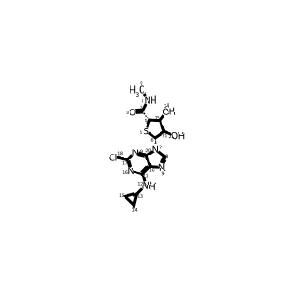 CNC(=O)[C@H]1S[C@@H](n2cnc3c(NC4CC4)nc(Cl)nc32)C(O)C1O